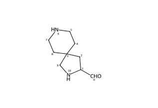 O=CC1CC2(CCNCC2)CN1